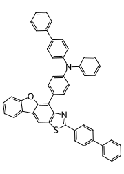 c1ccc(-c2ccc(-c3nc4c(-c5ccc(N(c6ccccc6)c6ccc(-c7ccccc7)cc6)cc5)c5oc6ccccc6c5cc4s3)cc2)cc1